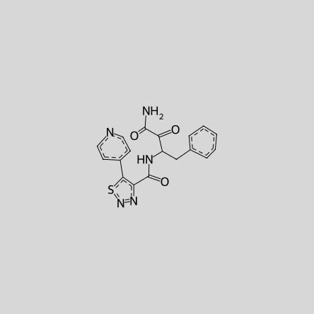 NC(=O)C(=O)C(Cc1ccccc1)NC(=O)c1nnsc1-c1ccncc1